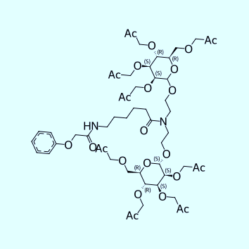 CC(=O)COC[C@H]1O[C@H](OCCN(CCOC2O[C@H](COCC(C)=O)[C@@H](OCC(C)=O)[C@H](OCC(C)=O)[C@@H]2OCC(C)=O)C(=O)CCCCCNC(=O)COc2ccccc2)[C@@H](OCC(C)=O)[C@@H](OCC(C)=O)[C@@H]1OCC(C)=O